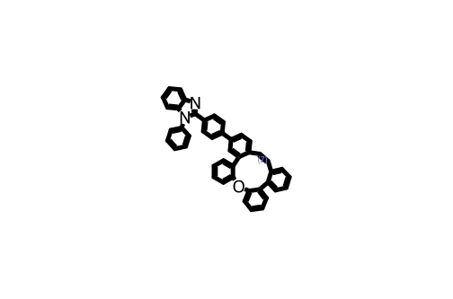 C1=C\c2ccc(-c3ccc(-c4nc5ccccc5n4-c4ccccc4)cc3)cc2-c2ccccc2Oc2ccccc2-c2ccccc2/1